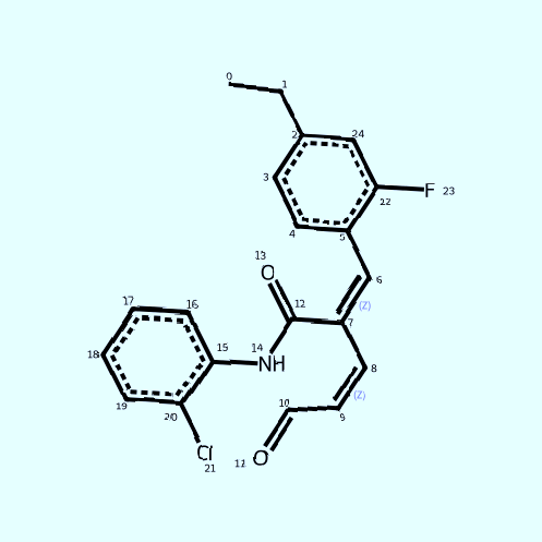 CCc1ccc(/C=C(/C=C\C=O)C(=O)Nc2ccccc2Cl)c(F)c1